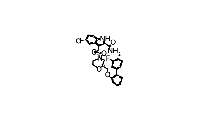 NC(=O)c1[nH]c2ccc(Cl)cc2c1S(=O)(=O)N1CCO[C@H](COc2ccccc2-c2cccc(F)c2)C1